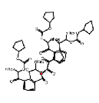 CCCCCCC(OC(=O)OC1CCCC1)C(=O)c1cccc(C(=O)OOC(=O)c2cccc(C(=O)C(CCCCCC)OC(=O)OC3CCCC3)c2C(=O)C(CCCCCC)OC(=O)OC2CCCC2)c1C(=O)C(CCCCCC)OC(=O)OC1CCCC1